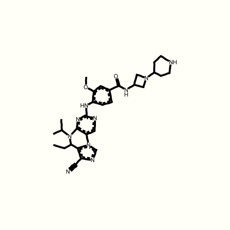 CCC1c2c(C#N)ncn2-c2cnc(Nc3ccc(C(=O)NC4CN(C5CCNCC5)C4)cc3OC)nc2N1C(C)C